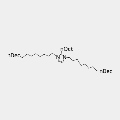 CCCCCCCCCCCCCCCCCCN1C=CN(CCCCCCCCCCCCCCCCCC)C1CCCCCCCC